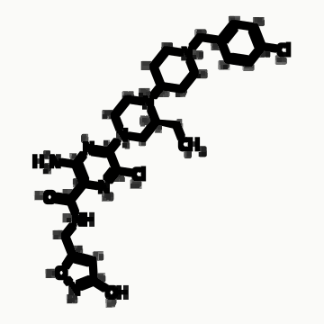 CC[C@H]1CN(c2nc(N)c(C(=O)NCc3cc(O)no3)nc2Cl)CCN1C1CCN(Cc2ccc(Cl)cc2)CC1